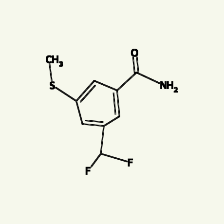 CSc1cc(C(N)=O)cc(C(F)F)c1